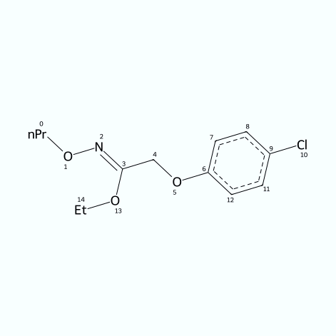 CCCON=C(COc1ccc(Cl)cc1)OCC